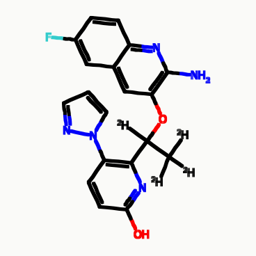 [2H]C([2H])([2H])C([2H])(Oc1cc2cc(F)ccc2nc1N)c1nc(O)ccc1-n1cccn1